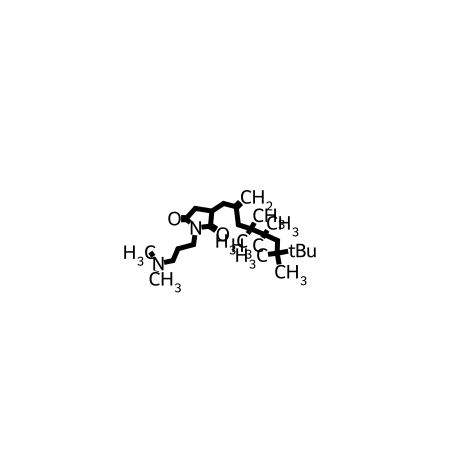 C=C(CC1CC(=O)N(CCCN(C)C)C1=O)CC(C)(C)C(C)(C)CC(C)(C)C(C)(C)C